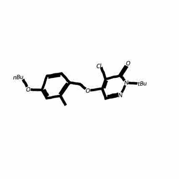 CCCCOc1ccc(COc2cnn(C(C)(C)C)c(=O)c2Cl)c(C)c1